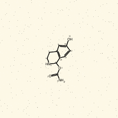 NC(=O)OC1NCCc2cc(O)ccc21